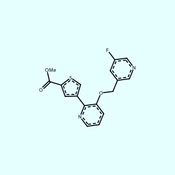 COC(=O)c1cc(-c2ncccc2OCc2cncc(F)c2)cs1